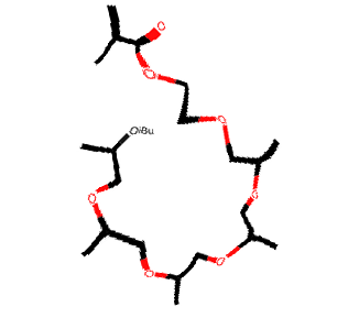 C=C(C)C(=O)OCCOCC(C)OCC(C)OCC(C)OCC(C)OCC(C)OCC(C)C